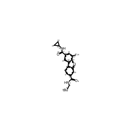 CC(C)(C)CNC(=O)c1ccc2c(c1)oc1c(F)cc(C(=O)NC3CC3)cc12